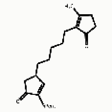 CCCCCC1=CC(CCCCCC2=C(C)CCC2=O)CC1=O